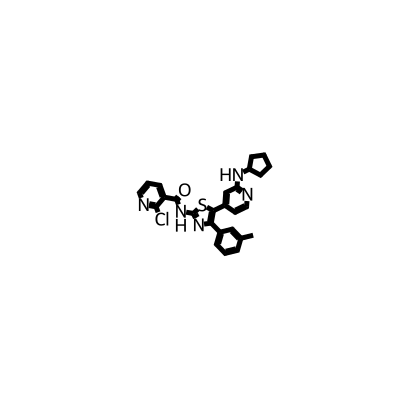 Cc1cccc(-c2nc(NC(=O)c3cccnc3Cl)sc2-c2ccnc(NC3CCCC3)c2)c1